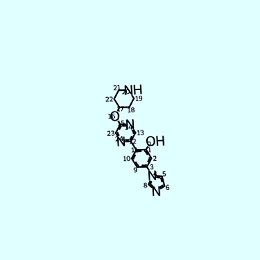 Oc1cc(-n2ccnc2)ccc1-c1cnc(OC2CCNCC2)cn1